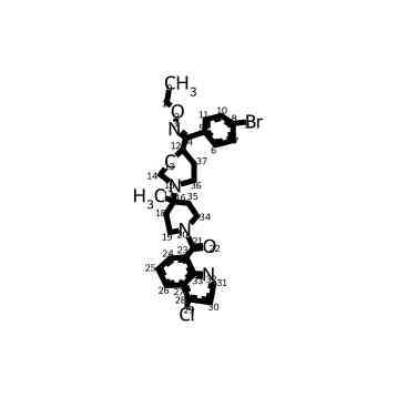 CCO/N=C(\c1ccc(Br)cc1)C1CCN(C2(C)CCN(C(=O)c3cccc4c(Cl)ccnc34)CC2)CC1